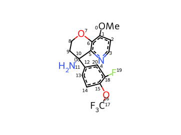 COc1ccnc2c1OCC[C@]2(N)c1ccc(OC(F)(F)F)c(F)c1